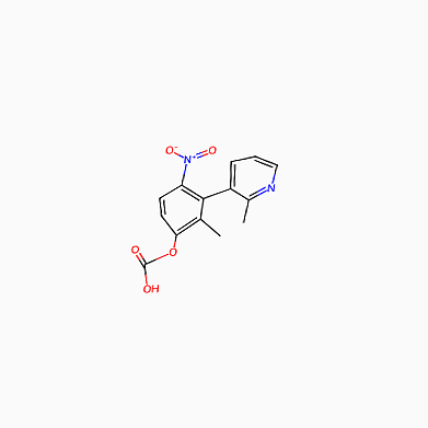 Cc1ncccc1-c1c([N+](=O)[O-])ccc(OC(=O)O)c1C